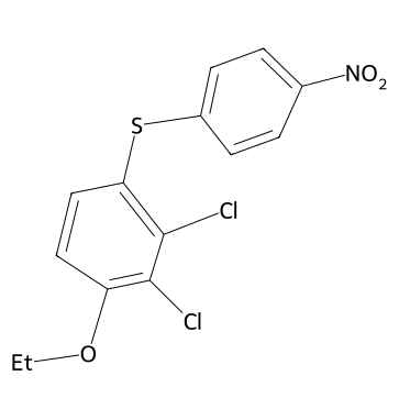 CCOc1ccc(Sc2ccc([N+](=O)[O-])cc2)c(Cl)c1Cl